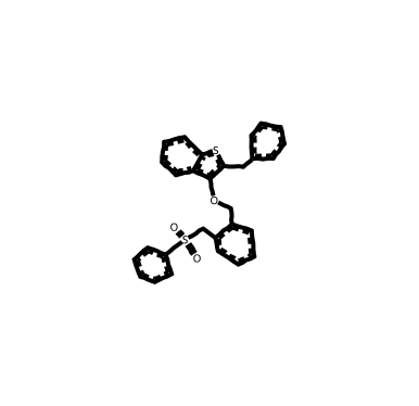 O=S(=O)(Cc1ccccc1COc1c(Cc2ccccc2)sc2ccccc12)c1ccccc1